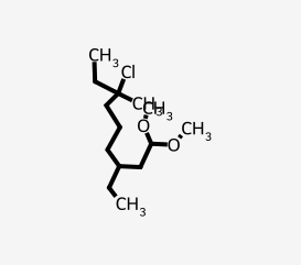 CCC(CCCC(C)(Cl)CC)CC(OC)OC